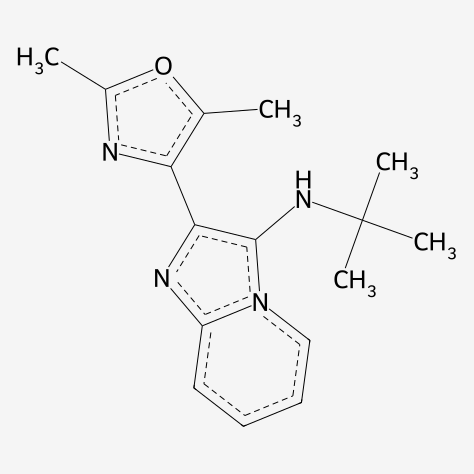 Cc1nc(-c2nc3ccccn3c2NC(C)(C)C)c(C)o1